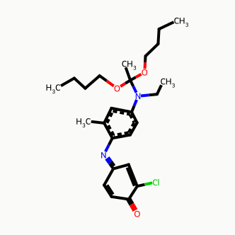 CCCCOC(C)(OCCCC)N(CC)c1ccc(N=C2C=CC(=O)C(Cl)=C2)c(C)c1